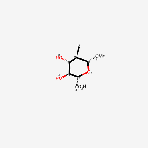 CO[C@@H]1O[C@H](C(=O)O)[C@@H](O)[C@H](O)[C@H]1C